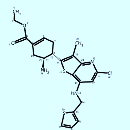 CCOC(=O)C1=CC[C@H](c2sc3c(NCc4cccs4)cc(Cl)nc3c2C)[C@@H](N)C1